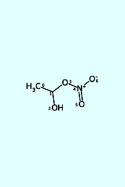 CC(O)O[N+](=O)[O-]